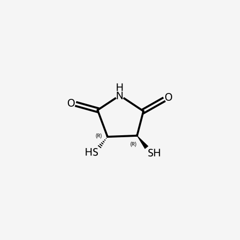 O=C1NC(=O)[C@@H](S)[C@@H]1S